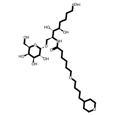 CCCCCCCCCCCCCC[C@@H](O)[C@@H](O)[C@H](CO[C@H]1O[C@H](CO)[C@H](O)[C@H](O)[C@H]1O)NC(=O)CCCCCOCCCCC1CCOCC1